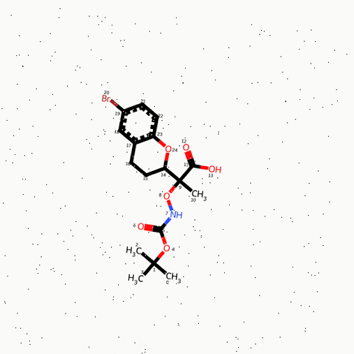 CC(C)(C)OC(=O)NOC(C)(C(=O)O)C1CCc2cc(Br)ccc2O1